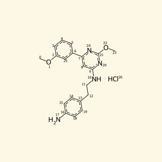 COc1cccc(-c2cc(NCCc3ccc(N)cc3)nc(OC)n2)c1.Cl